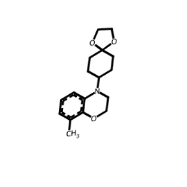 Cc1cccc2c1OCCN2C1CCC2(CC1)OCCO2